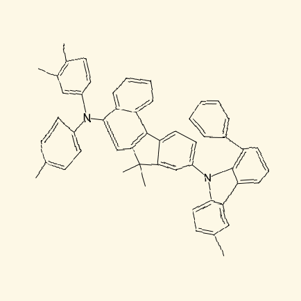 Cc1ccc(N(c2ccc(C)c(C)c2)c2cc3c(c4ccccc24)-c2ccc(-n4c5ccc(C)cc5c5cccc(-c6ccccc6)c54)cc2C3(C)C)cc1